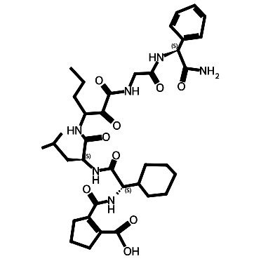 CCCC(NC(=O)[C@H](CC(C)C)NC(=O)[C@@H](NC(=O)C1=C(C(=O)O)CCC1)C1CCCCC1)C(=O)C(=O)NCC(=O)N[C@H](C(N)=O)c1ccccc1